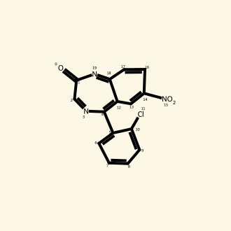 O=c1cnc(-c2ccccc2Cl)c2cc([N+](=O)[O-])ccc2n1